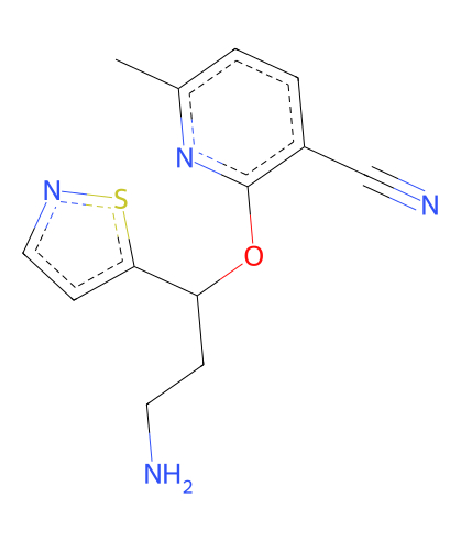 Cc1ccc(C#N)c(OC(CCN)c2ccns2)n1